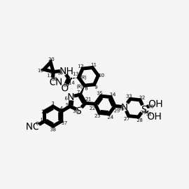 N#Cc1ccc(-c2nc([C@@H]3CCCC[C@H]3C(=O)NC3(C#N)CC3)c(-c3ccc(N4CCS(O)(O)CC4)cc3)s2)cc1